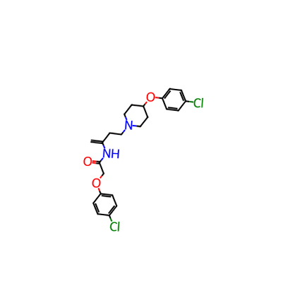 C=C(CCN1CCC(Oc2ccc(Cl)cc2)CC1)NC(=O)COc1ccc(Cl)cc1